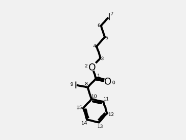 O=C(OCCCCI)C(I)c1ccccc1